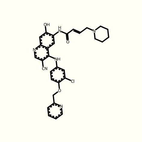 N#Cc1cnc2cc(O)c(NC(=O)/C=C/CN3CCCCC3)cc2c1Nc1ccc(OCc2ccccn2)c(Cl)c1